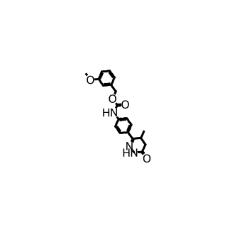 COc1cccc(COC(=O)Nc2ccc(C3=NNC(=O)CC3C)cc2)c1